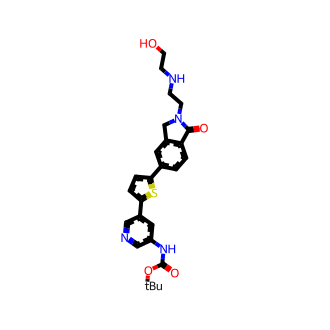 CC(C)(C)OC(=O)Nc1cncc(-c2ccc(-c3ccc4c(c3)CN(CCNCCO)C4=O)s2)c1